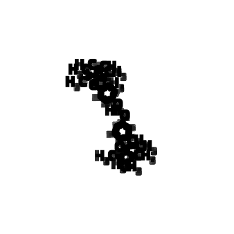 CC(C)[Si](Oc1ccc(OBOc2ccc(O[Si](C(C)C)(C(C)C)C(C)C)cc2)cc1)(C(C)C)C(C)C